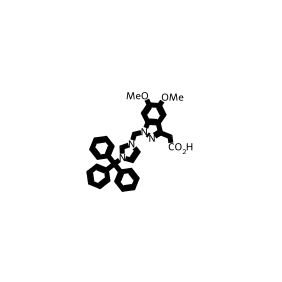 COc1cc2c(CC(=O)O)nn(CN3C=CN(C(c4ccccc4)(c4ccccc4)c4ccccc4)C3)c2cc1OC